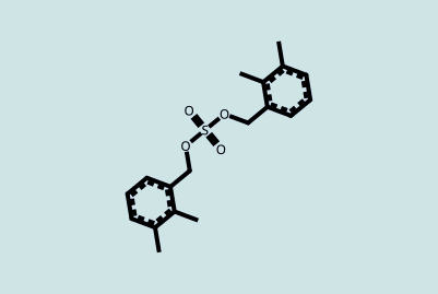 Cc1cccc(COS(=O)(=O)OCc2cccc(C)c2C)c1C